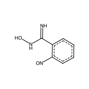 N=C(NO)c1ccccc1N=O